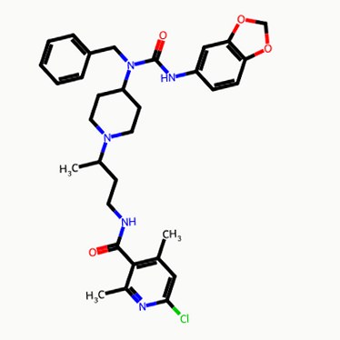 Cc1cc(Cl)nc(C)c1C(=O)NCCC(C)N1CCC(N(Cc2ccccc2)C(=O)Nc2ccc3c(c2)OCO3)CC1